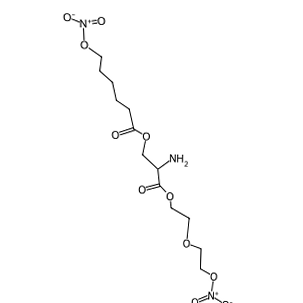 NC(COC(=O)CCCCCO[N+](=O)[O-])C(=O)OCCOCCO[N+](=O)[O-]